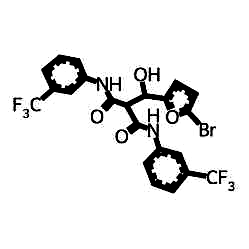 O=C(Nc1cccc(C(F)(F)F)c1)C(C(=O)Nc1cccc(C(F)(F)F)c1)C(O)c1ccc(Br)o1